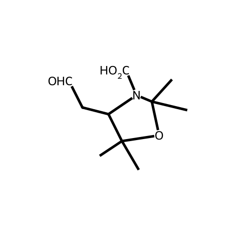 CC1(C)OC(C)(C)N(C(=O)O)C1CC=O